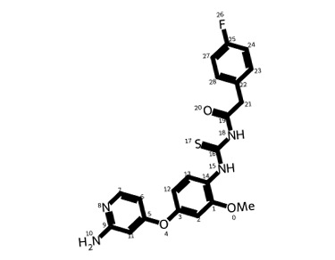 COc1cc(Oc2ccnc(N)c2)ccc1NC(=S)NC(=O)Cc1ccc(F)cc1